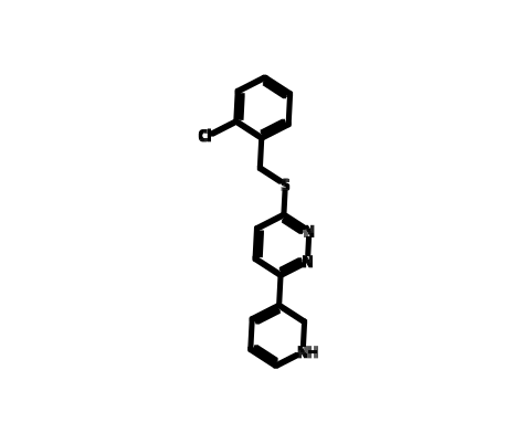 Clc1ccccc1CSc1ccc(C2=CC=CNC2)nn1